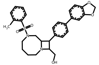 Cc1ccccc1S(=O)(=O)N1CCCCN2C(CO)C(c3ccc(-c4ccc5c(c4)OCO5)cc3)C2C1